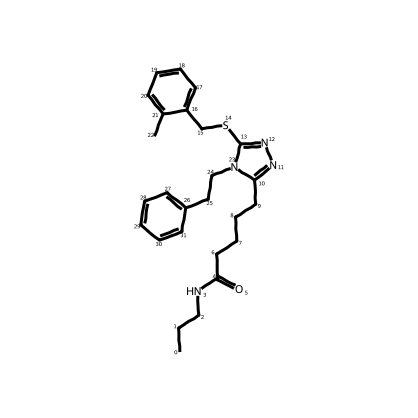 CCCNC(=O)CCCCc1nnc(SCc2ccccc2C)n1CCc1ccccc1